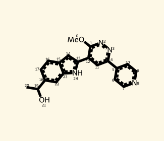 COc1nnc(-c2ccncc2)cc1-c1cc2ccc(C(C)O)cc2[nH]1